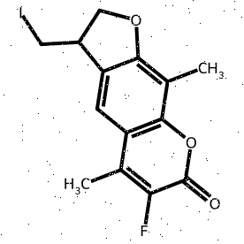 Cc1c(F)c(=O)oc2c(C)c3c(cc12)C(CI)CO3